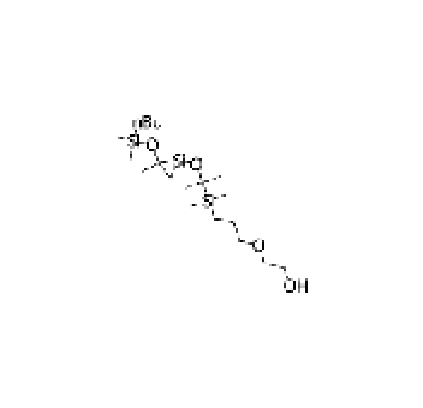 CCCC[Si](C)(C)OC1(C)C[Si]1(C)OC(C)(C)[Si](C)(C)CCCOCCO